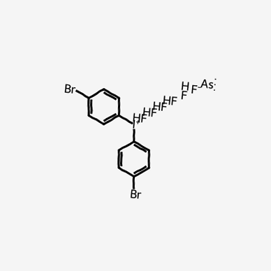 Brc1ccc([I+]c2ccc(Br)cc2)cc1.F.F.F.F.F.[As].[F-]